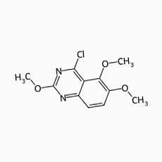 COc1nc(Cl)c2c(OC)c(OC)ccc2n1